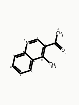 CC(=O)c1cnc2ccccc2c1C